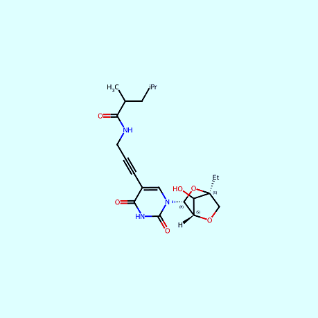 CC[C@]12CO[C@@H](C1O)[C@H](n1cc(C#CCNC(=O)C(C)CC(C)C)c(=O)[nH]c1=O)O2